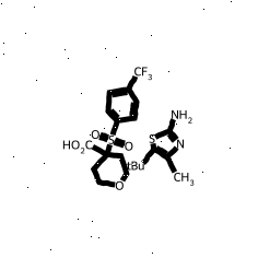 Cc1nc(N)sc1C(C)(C)C.O=C(O)C1(S(=O)(=O)c2ccc(C(F)(F)F)cc2)CCOCC1